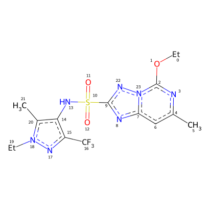 CCOc1nc(C)cc2nc(S(=O)(=O)Nc3c(C(F)(F)F)nn(CC)c3C)nn12